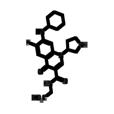 O=C(O)CNC(=O)c1cn(C2CCNC2)c2cc(NC3CCCCC3)c(F)cc2c1=O